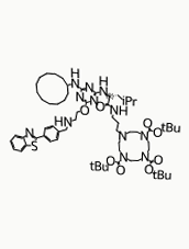 CC(C)C[C@@H](Nc1nc(NC2CCCCCCCCCCC2)nc(OCCNCc2ccc(-c3nc4ccccc4s3)cc2)n1)C(=O)NCCCN1CCN(C(=O)OC(C)(C)C)CCN(C(=O)OC(C)(C)C)CCN(C(=O)OC(C)(C)C)CC1